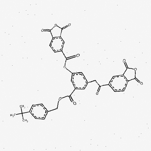 CC(C)(C)c1ccc(COC(=O)c2cc(CC(=O)c3ccc4c(c3)C(=O)OC4=O)cc(OC(=O)c3ccc4c(c3)C(=O)OC4=O)c2)cc1